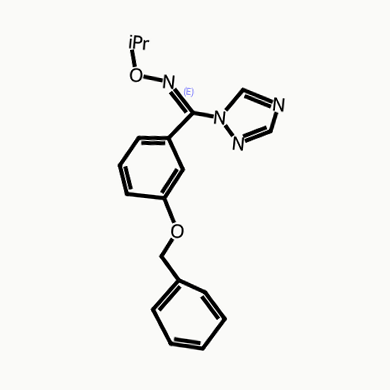 CC(C)O/N=C(\c1cccc(OCc2ccccc2)c1)n1cncn1